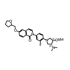 CO[C@@H]1CN(c2ccc(-n3ccc4cc(OCC5CCCO5)ccc4c3=O)cc2F)C[C@H]1N(C)C